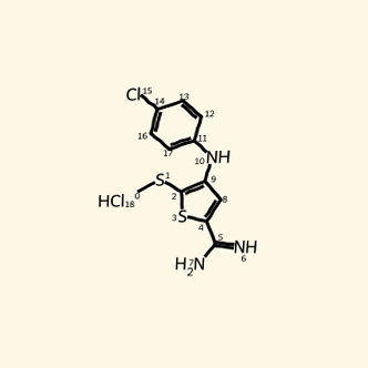 CSc1sc(C(=N)N)cc1Nc1ccc(Cl)cc1.Cl